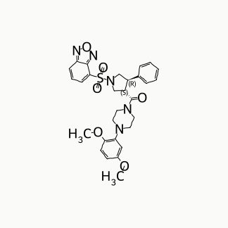 COc1ccc(OC)c(N2CCN(C(=O)[C@@H]3CN(S(=O)(=O)c4cccc5nonc45)C[C@H]3c3ccccc3)CC2)c1